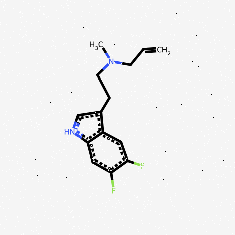 C=CCN(C)CCc1c[nH]c2cc(F)c(F)cc12